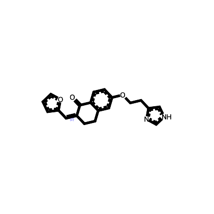 O=C1/C(=C\c2ccco2)CCc2cc(OCCc3c[nH]cn3)ccc21